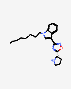 CCCCCCCCn1cc(-c2noc([C@@H]3CCCN3)n2)c2ccccc21